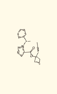 CC#CC1(OC(=O)c2cncn2C(C)c2ccccc2)CSC1